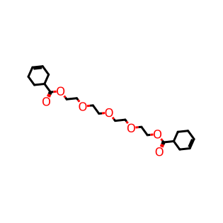 O=C(OCCOCCOCCOCCOC(=O)C1CC=CCC1)C1CC=CCC1